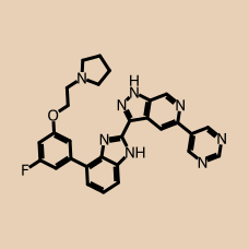 Fc1cc(OCCN2CCCC2)cc(-c2cccc3[nH]c(-c4n[nH]c5cnc(-c6cncnc6)cc45)nc23)c1